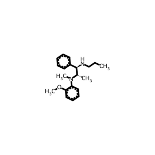 CCCN[C@H](c1ccccc1)[C@H](C)N(C)c1ccccc1OC